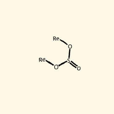 O=S([O][Re])[O][Re]